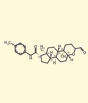 Cc1ccc(NC(=O)[C@H]2CC[C@H]3[C@@H]4CC[C@H]5OC(C=O)CC[C@]5(C)[C@H]4CC[C@]23C)cc1